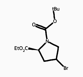 CCOC(=O)[C@@H]1CC(Br)CN1C(=O)OC(C)(C)C